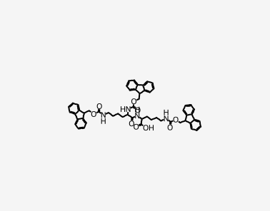 O=C(NCCCCC(NC(=O)C(CCCCNC(=O)OCC1c2ccccc2-c2ccccc21)NC(=O)OCC1c2ccccc2-c2ccccc21)C(=O)O)OCC1c2ccccc2-c2ccccc21